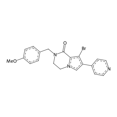 COc1ccc(CN2CCn3cc(-c4ccncc4)c(Br)c3C2=O)cc1